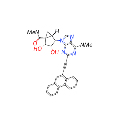 CNC(=O)[C@@]12C[C@@H]1[C@@H](n1cnc3c(NC)nc(C#Cc4cc5ccccc5c5ccccc45)nc31)[C@H](O)[C@@H]2O